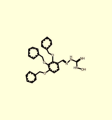 N=C(NO)N/N=C/c1ccc(OCc2ccccc2)c(OCc2ccccc2)c1OCc1ccccc1